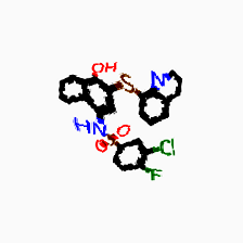 O=S(=O)(Nc1cc(Sc2cccc3cccnc23)c(O)c2ccccc12)c1ccc(F)c(Cl)c1